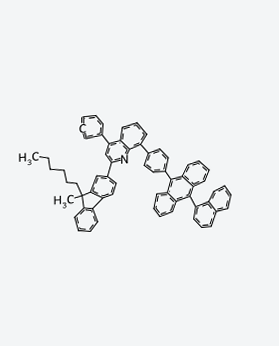 CCCCCCC1(C)c2ccccc2-c2ccc(-c3cc(-c4ccccc4)c4cccc(-c5ccc(-c6c7ccccc7c(-c7cccc8ccccc78)c7ccccc67)cc5)c4n3)cc21